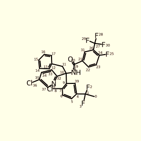 CC(F)(F)c1ccc(Cl)c(C(Cc2ccccc2)(NC(=O)c2ccc(F)c(C(F)(F)F)c2)c2ccc(Cl)cn2)c1